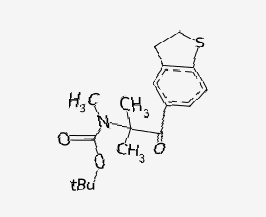 CN(C(=O)OC(C)(C)C)C(C)(C)C(=O)c1ccc2c(c1)CCS2